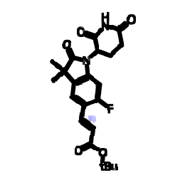 CC(C)(C)OC(=O)/C=C/c1cc2c(cc1F)N(C1CCC(=O)NC1=O)C(=O)C2(C)C